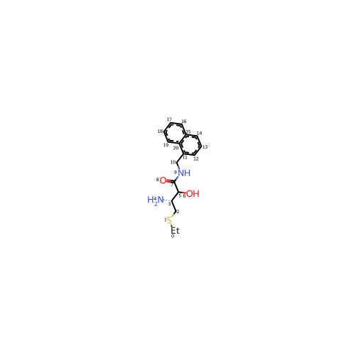 CCSC[C@H](N)C(O)C(=O)NCc1cccc2ccccc12